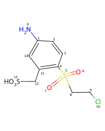 Nc1ccc(S(=O)(=O)CCCl)c(CS(=O)(=O)O)c1